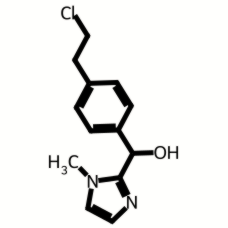 Cn1ccnc1C(O)c1ccc(CCCl)cc1